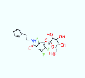 O=C(NCCc1ccccc1)c1cc(F)c(F)c(O[C@H]2OC(CO)C(O)C(O)C2O)c1F